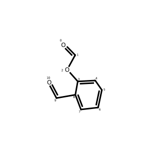 O=[C]Oc1ccccc1C=O